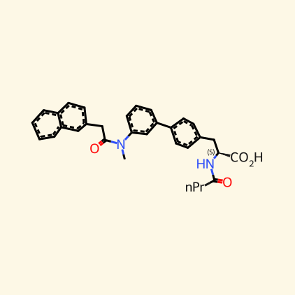 CCCC(=O)N[C@@H](Cc1ccc(-c2cccc(N(C)C(=O)Cc3ccc4ccccc4c3)c2)cc1)C(=O)O